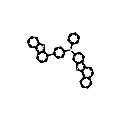 c1ccc(N(c2ccc(-c3cccc4c3sc3ccccc34)cc2)c2ccc3c(c2)sc2c4ccccc4ccc32)cc1